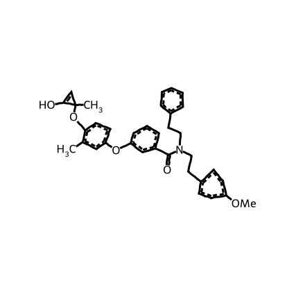 COc1ccc(CCN(CCc2ccccc2)C(=O)c2cccc(Oc3ccc(OC4(C)C=C4O)c(C)c3)c2)cc1